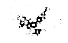 Cc1ccc(S(=O)(=O)O)cc1.N#CC1CC(F)(F)CN1N(CC=O)C(=O)c1cc[n+]([O-])c2ccc(-c3ccc(S(=O)(=O)CCCN)cc3)cc12